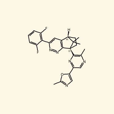 Cc1ncc(-c2cnc(C)c([C@@]34CC[C@@H](c5cc(-c6c(F)cccc6F)nnc53)C4(C)C)n2)o1